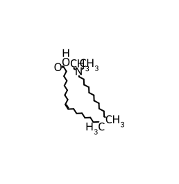 CCCCCCCC/C=C\CCCCCCCC(=O)O.CCCCCCCCCCCCN(CC)CC